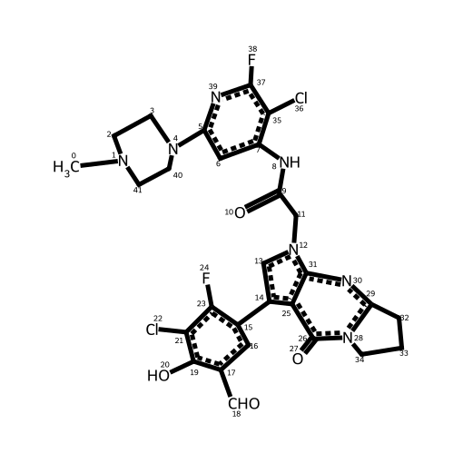 CN1CCN(c2cc(NC(=O)Cn3cc(-c4cc(C=O)c(O)c(Cl)c4F)c4c(=O)n5c(nc43)CCC5)c(Cl)c(F)n2)CC1